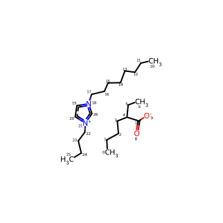 CCCCC(CC)C(=O)[O-].CCCCCCCCn1cc[n+](CCCC)c1